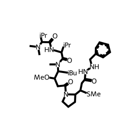 CCC(C)C(C(CC(=O)N1CCCC1C(CC(=O)NNCc1ccccc1)SC)OC)N(C)C(=O)C(NC(=O)C(C(C)C)N(C)C)C(C)C